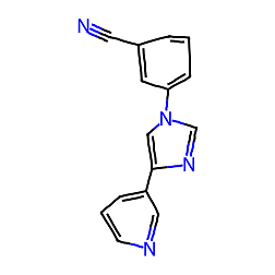 N#Cc1cccc(-n2cnc(-c3cccnc3)c2)c1